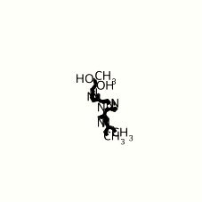 CCC(CC)n1cc(-c2nc(-c3cnn(CC(O)C(C)O)c3)cn3nccc23)cn1